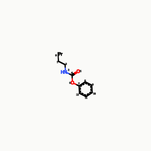 CC(C)CCNC(=O)Oc1ccccc1